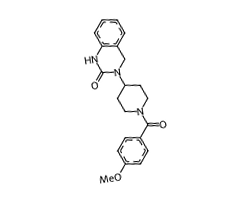 COc1ccc(C(=O)N2CCC(N3Cc4ccccc4NC3=O)CC2)cc1